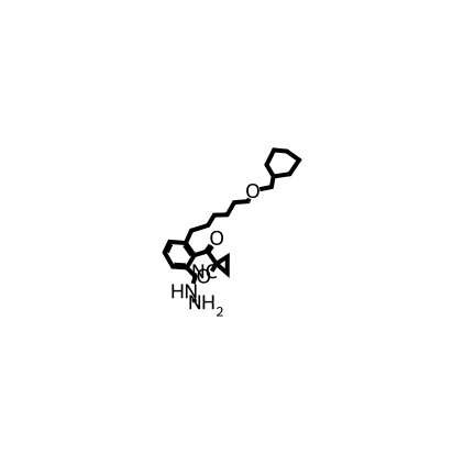 N#CC1(C(=O)c2c(CCCCCCOCC3CCCCC3)cccc2C(=O)NN)CC1